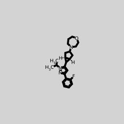 CC(C)n1nc(-c2ccccc2F)cc1C1[C@H]2CC(N3CCCOCC3)C[C@@H]12